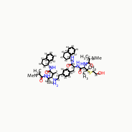 CN[C@@H](C)C(=O)NC(CC(C[C@@H](CN)c1ccc(C[C@H](NC(=O)[C@@H](NC(=O)[C@H](C)NC)C(C)(C)SCCO)C(=O)N[C@@H]2CCCc3ccccc32)cc1)C(=O)N[C@@H]1CCCc2ccccc21)C(C)(C)C